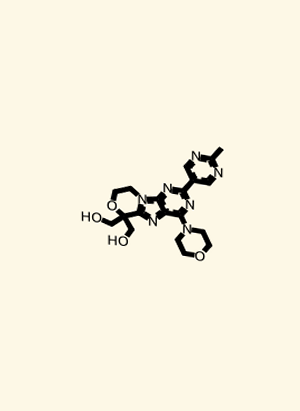 Cc1ncc(-c2nc(N3CCOCC3)c3nc4n(c3n2)CCOC4(CO)CO)cn1